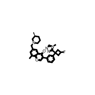 Cc1cc(CN2CCC[C@H](C)C2)cc2c(=O)c(-c3cccc(C4(c5nncn5C)CC(F)C4)c3)coc12